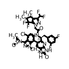 C[C@@H]1c2c(C(F)F)nn(CC(=O)N[C@@H](Cc3cc(F)cc(F)c3)c3nc4[nH]c(=O)[nH]c4cc3-c3ccc(Cl)c4c(N5[C@H](C)[S+]5[O-])nn(C)c34)c2C(F)(F)[C@@H]1C